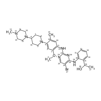 COc1cc(N2CCC(N3CCN(C)CC3)CC2)c(C)cc1Nc1ncc(Br)c(Nc2ccccc2C(C)O)n1